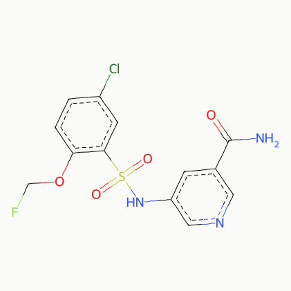 NC(=O)c1cncc(NS(=O)(=O)c2cc(Cl)ccc2OCF)c1